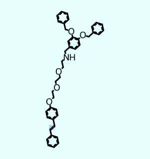 C(=C\c1ccc(OCCOCCOCCNCc2ccc(OCc3ccccc3)c(OCc3ccccc3)c2)cc1)/c1ccccc1